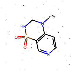 CCCN1CNS(=O)(=O)c2cnccc21